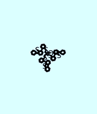 OCC(CSc1ccccc1-c1cccc2c1sc1ccccc12)(CSc1ccccc1-c1cccc2c1sc1ccccc12)CSc1ccccc1-c1cccc2c1sc1ccccc12